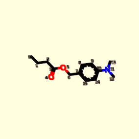 CCCC(=O)OCc1ccc(N(C)C)cc1